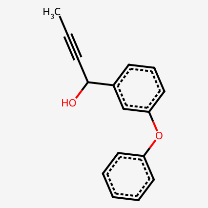 CC#CC(O)c1cccc(Oc2ccccc2)c1